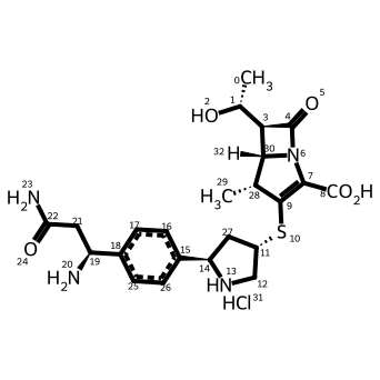 C[C@@H](O)[C@H]1C(=O)N2C(C(=O)O)=C(S[C@@H]3CN[C@@H](c4ccc([C@@H](N)CC(N)=O)cc4)C3)[C@H](C)[C@H]12.Cl